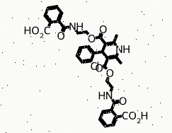 CC1=C(C(=O)OCCNC(=O)c2ccccc2C(=O)O)C(c2ccccc2Cl)C(C(=O)OCCNC(=O)c2ccccc2C(=O)O)=C(C)N1